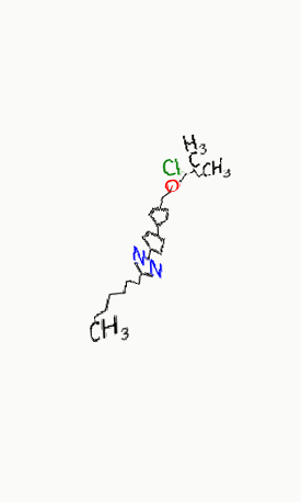 CCCCCCCc1cnc(-c2ccc(-c3ccc(CCOC[C@H](Cl)C(C)CC)cc3)cc2)nc1